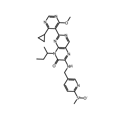 CCC(C)n1c(=O)c(NCc2ccc([S+](C)[O-])nc2)nc2cnc(-c3c(OC)ncnc3C3CC3)nc21